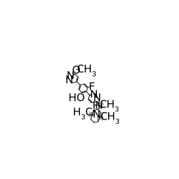 COc1cc(-c2cc(O)c(-c3ccc(N(C)C4C[C@]5(C)CCC[C@](C)(C4)N5)nn3)c(F)c2)cnn1